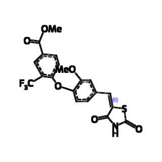 COC(=O)c1ccc(Oc2ccc(/C=C3/SC(=O)NC3=O)cc2OC)c(C(F)(F)F)c1